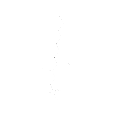 CCCCCCCCC(Br)CCS(=O)(=O)[O-].[Na+]